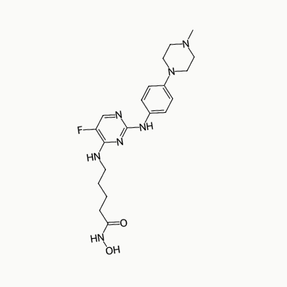 CN1CCN(c2ccc(Nc3ncc(F)c(NCCCCC(=O)NO)n3)cc2)CC1